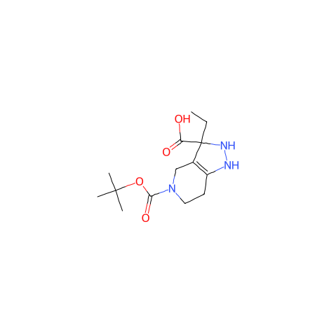 CCC1(C(=O)O)NNC2=C1CN(C(=O)OC(C)(C)C)CC2